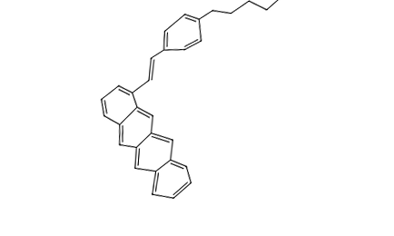 CCCCCc1ccc(/C=C/c2cccc3cc4cc5ccccc5cc4cc23)cc1